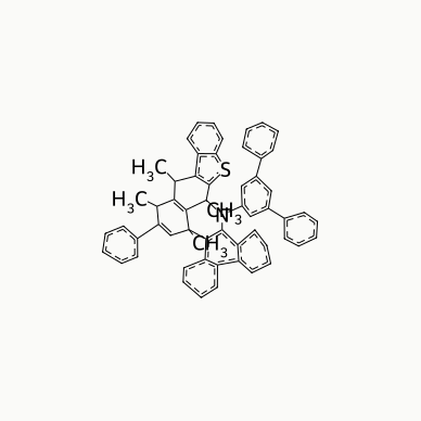 CC1C(c2ccccc2)=CC2(C)C3=C1C(C)c1c(sc4ccccc14)C3(C)N(c1cc(-c3ccccc3)cc(-c3ccccc3)c1)c1c2c2ccccc2c2ccccc12